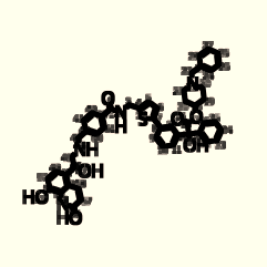 O=C(NCc1ccc(-c2cccc(C(O)(C(=O)OC3CCN(Cc4ccccc4)CC3)c3ccccc3)c2)s1)c1ccc(CNC[C@H](O)c2ccc(O)c3[nH]c(=O)ccc23)cc1